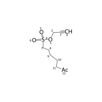 C#CCOS(=O)(=O)CCCCCC(C)=O